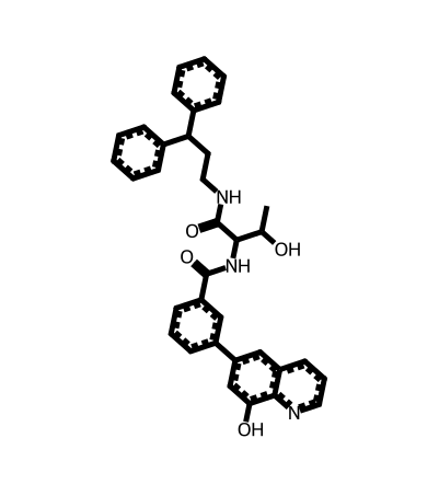 CC(O)C(NC(=O)c1cccc(-c2cc(O)c3ncccc3c2)c1)C(=O)NCCC(c1ccccc1)c1ccccc1